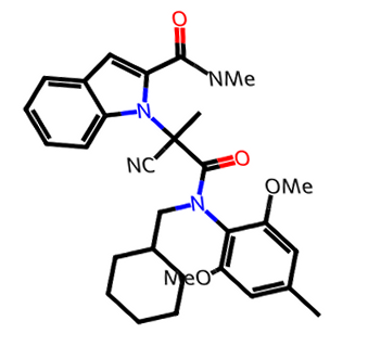 CNC(=O)c1cc2ccccc2n1C(C)(C#N)C(=O)N(CC1CCCCC1)c1c(OC)cc(C)cc1OC